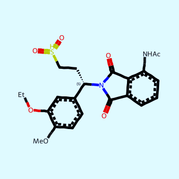 CCOc1cc([C@H](CC[SH](=O)=O)N2C(=O)c3cccc(NC(C)=O)c3C2=O)ccc1OC